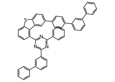 c1ccc(-c2cccc(-c3ccc(-c4ccc5sc6cccc(-c7nc(-c8ccccc8)nc(-c8cccc(-c9ccccc9)c8)n7)c6c5c4)cc3)c2)cc1